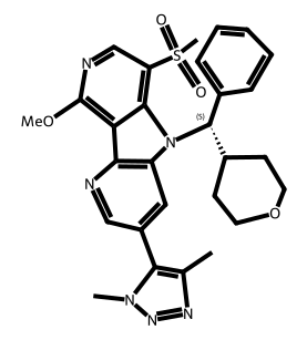 COc1ncc(S(C)(=O)=O)c2c1c1ncc(-c3c(C)nnn3C)cc1n2[C@H](c1ccccc1)C1CCOCC1